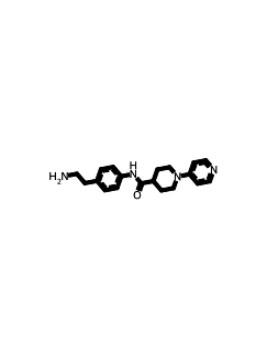 NCCc1ccc(NC(=O)C2CCN(c3ccncc3)CC2)cc1